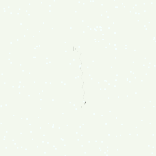 O=CCCCCCCCCCCO